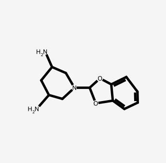 NC1CC(N)CN(C2Oc3ccccc3O2)C1